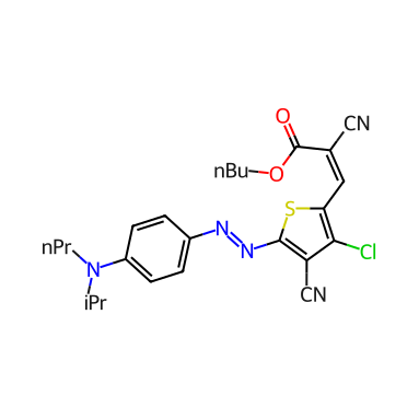 CCCCOC(=O)C(C#N)=Cc1sc(N=Nc2ccc(N(CCC)C(C)C)cc2)c(C#N)c1Cl